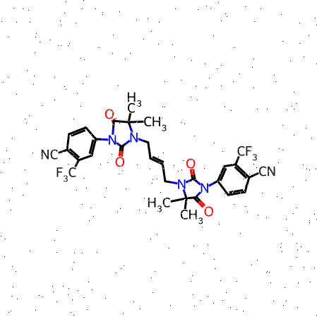 CC1(C)C(=O)N(c2ccc(C#N)c(C(F)(F)F)c2)C(=O)N1CC=CCN1C(=O)N(c2ccc(C#N)c(C(F)(F)F)c2)C(=O)C1(C)C